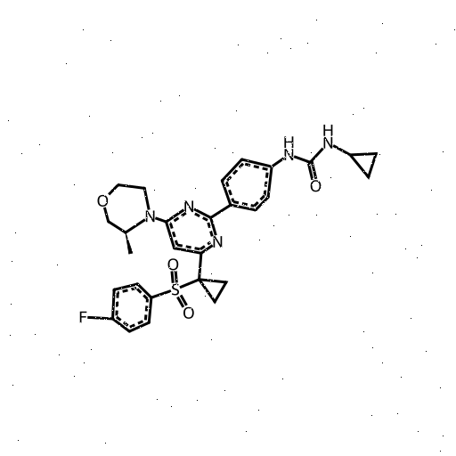 C[C@H]1COCCN1c1cc(C2(S(=O)(=O)c3ccc(F)cc3)CC2)nc(-c2ccc(NC(=O)NC3CC3)cc2)n1